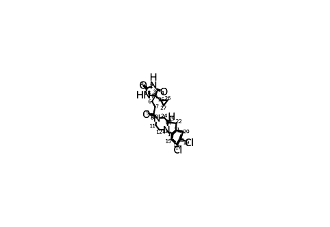 O=C1NC(=O)[C@](CCC(=O)N2CCN3c4cc(Cl)c(Cl)cc4C[C@@H]3C2)(C2CC2)N1